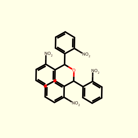 O=[N+]([O-])c1ccccc1C(OC(c1ccccc1[N+](=O)[O-])c1ccccc1[N+](=O)[O-])c1ccccc1[N+](=O)[O-]